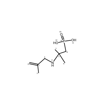 C=C(C)CNC(C)(C)CP(=O)(O)O